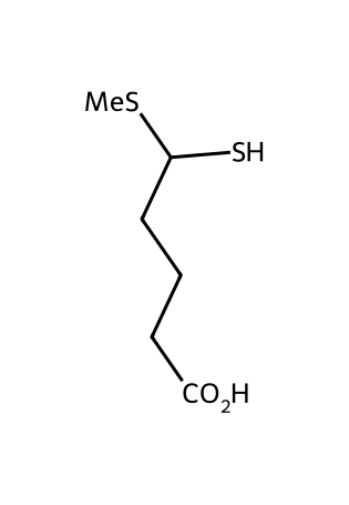 CSC(S)CCCC(=O)O